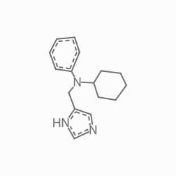 c1ccc(N(Cc2cnc[nH]2)C2CCCCC2)cc1